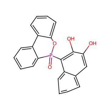 O=P1(c2c(O)c(O)cc3ccccc23)Oc2ccccc2-c2ccccc21